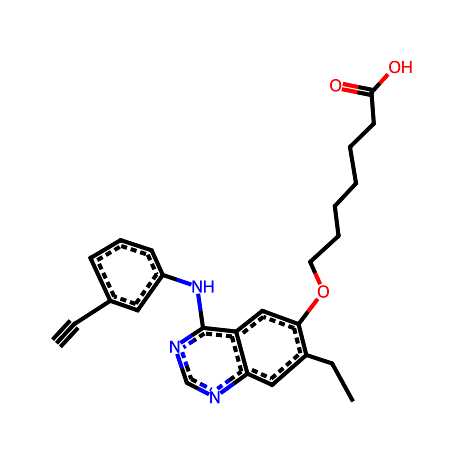 C#Cc1cccc(Nc2ncnc3cc(CC)c(OCCCCCCC(=O)O)cc23)c1